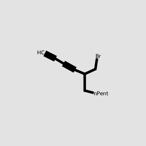 C#CC#CC(CBr)CCCCCC